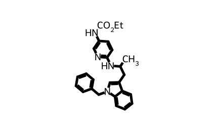 CCOC(=O)Nc1ccc(NC(C)Cc2cn(Cc3ccccc3)c3ccccc23)nc1